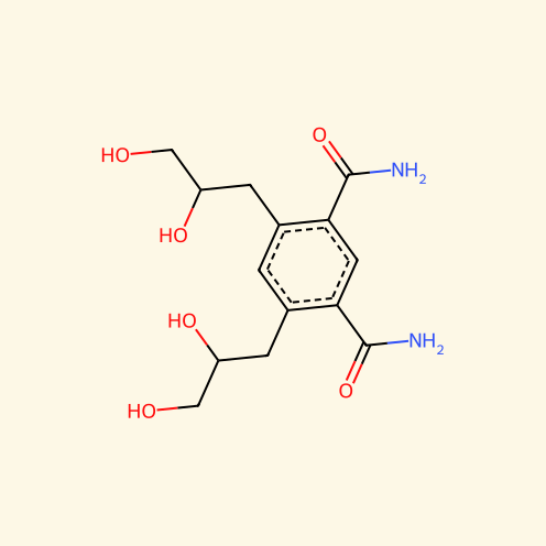 NC(=O)c1cc(C(N)=O)c(CC(O)CO)cc1CC(O)CO